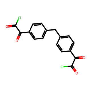 O=C(Cl)C(=O)c1ccc(Cc2ccc(C(=O)C(=O)Cl)cc2)cc1